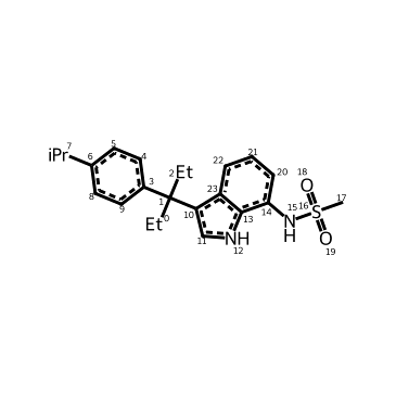 CCC(CC)(c1ccc(C(C)C)cc1)c1c[nH]c2c(NS(C)(=O)=O)cccc12